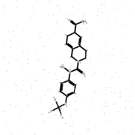 NC(=O)C1C=C2CCN(C(=O)N(O)c3ccc(OC(F)(F)F)cc3)CC2=CC1